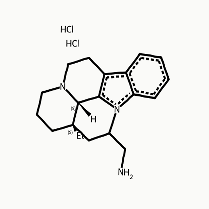 CC[C@]12CCCN3CCc4c(n(c5ccccc45)C(CN)C1)[C@@H]32.Cl.Cl